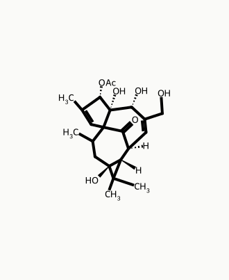 CC(=O)O[C@H]1C(C)=CC23C(=O)[C@@H](C=C(CO)[C@@H](O)[C@]12O)[C@@H]1C(C)(C)[C@]1(O)CC3C